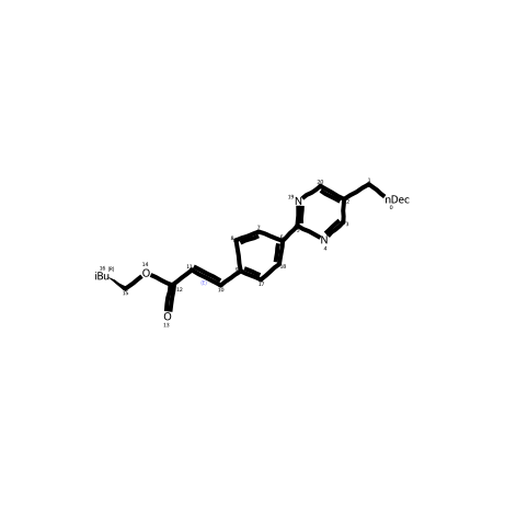 CCCCCCCCCCCc1cnc(-c2ccc(/C=C/C(=O)OC[C@H](C)CC)cc2)nc1